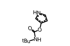 CC(C)(C)NC(=O)Oc1cc[nH]c1